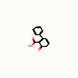 O=C(O)C1=C(c2ccccc2)C=CCC1=O